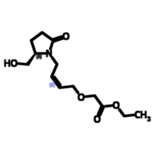 CCOC(=O)COC/C=C\CN1C(=O)CC[C@@H]1CO